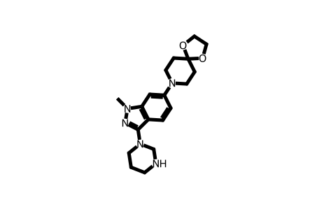 Cn1nc(N2CCCNC2)c2ccc(N3CCC4(CC3)OCCO4)cc21